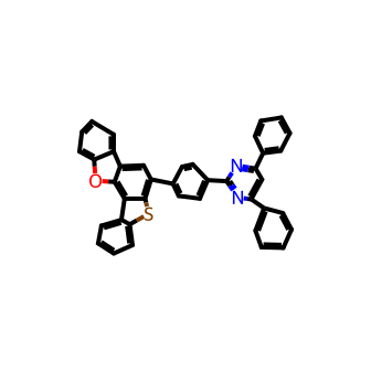 c1ccc(-c2cc(-c3ccccc3)nc(-c3ccc(-c4cc5c6ccccc6oc5c5c4sc4ccccc45)cc3)n2)cc1